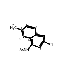 CC(=O)Nc1cc(Cl)cc2ccc(C)nc12